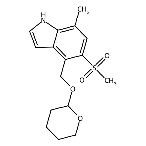 Cc1cc(S(C)(=O)=O)c(COC2CCCCO2)c2cc[nH]c12